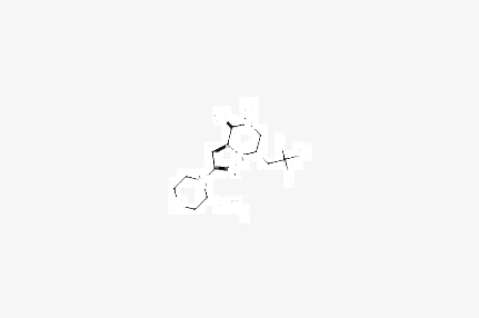 C[C@@H]1COCCN1c1cc2n(n1)[C@H](CC(F)(F)F)CNC2=O